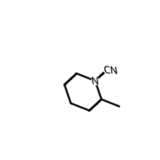 CC1CCCCN1C#N